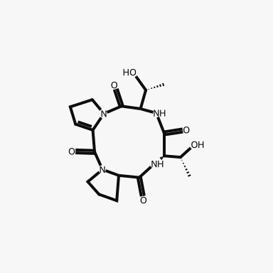 C[C@@H](O)C1NC(=O)[C@H]([C@@H](C)O)NC(=O)C2CCCN2C(=O)C2=CCCN2C1=O